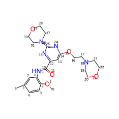 COc1ccc(C)cc1NC(=O)c1cc(OCCN2CCOCC2)nc(N2CCOCC2)n1